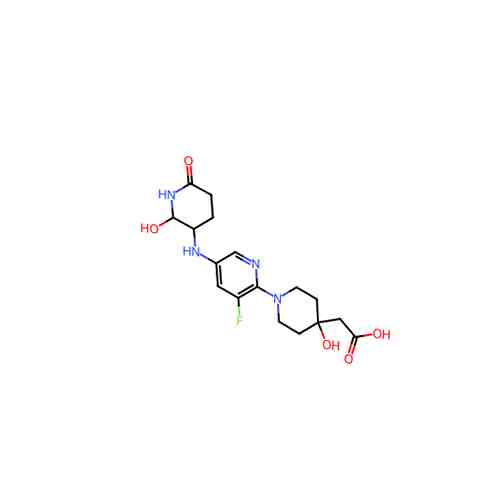 O=C(O)CC1(O)CCN(c2ncc(NC3CCC(=O)NC3O)cc2F)CC1